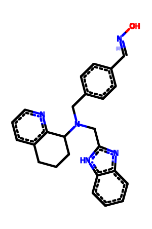 O/N=C/c1ccc(CN(Cc2nc3ccccc3[nH]2)C2CCCc3cccnc32)cc1